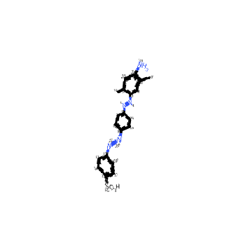 Cc1cc(N=Nc2ccc(N=Nc3ccc(S(=O)(=O)O)cc3)cc2)c(C)cc1N